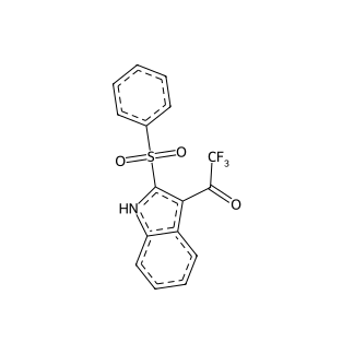 O=C(c1c(S(=O)(=O)c2ccccc2)[nH]c2ccccc12)C(F)(F)F